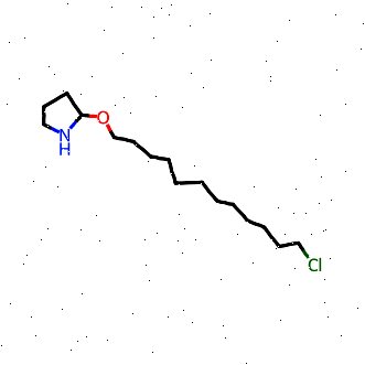 ClCCCCCCCCCCCCOC1CCCN1